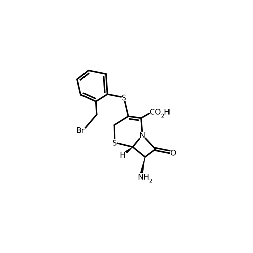 N[C@@H]1C(=O)N2C(C(=O)O)=C(Sc3ccccc3CBr)CS[C@@H]12